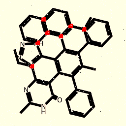 CCCc1nc(C)[nH]c(=O)c1-c1c(-c2ccccc2)c(C)c(-c2ccccc2-c2ccccc2)c([N+](=CN(C)C)c2ccccc2)c1-c1nnn[nH]1